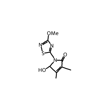 COc1nsc(N2C(=O)C(C)=C(C)C2O)n1